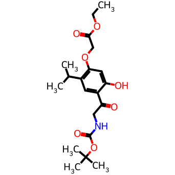 CCOC(=O)COc1cc(O)c(C(=O)CNC(=O)OC(C)(C)C)cc1C(C)C